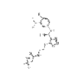 CS(=N)(=O)CC(=O)NCCSc1nonc1C(=N)Nc1ccc(F)c(C(F)F)c1